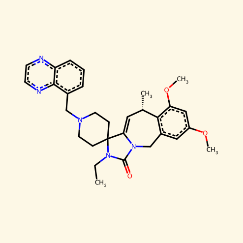 CCN1C(=O)N2Cc3cc(OC)cc(OC)c3[C@@H](C)C=C2C12CCN(Cc1cccc3nccnc13)CC2